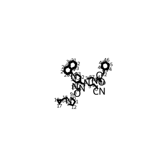 N#CCC1CN(c2nc(OC[C@@H]3CCCN3CC3CC3)nc3c2CCN(c2cccc4ccccc24)C3)CCN1C(=O)OCc1ccccc1